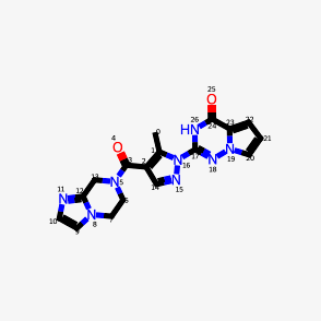 Cc1c(C(=O)N2CCn3ccnc3C2)cnn1-c1nn2cccc2c(=O)[nH]1